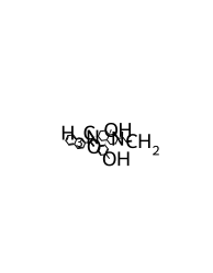 C=CCN1CC[C@@]2(c3cccc(O)c3)C[C@H](N(C)C(=O)c3ccc4ccccc4c3)CC[C@]2(O)C1